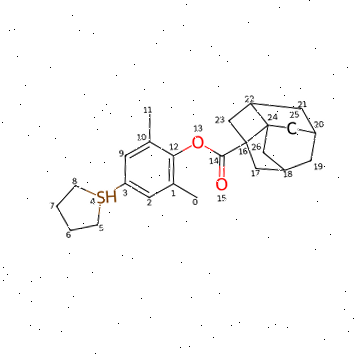 Cc1cc([SH]2CCCC2)cc(C)c1OC(=O)C12CC3CC4CC(C1)C2(C4)C3